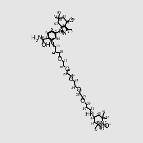 Cc1nn(-c2ccc(C(N)=O)c(NCCCOCCOCCOCCOCCOCCCNC3CC(C)(C)[NH+]([O-])C(C)(C)C3)c2)c2c1C(=O)CC(C)(C)C2